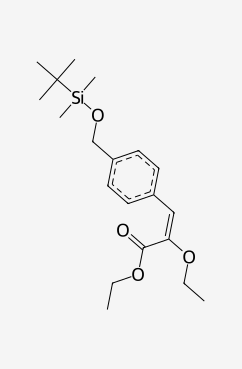 CCOC(=O)/C(=C\c1ccc(CO[Si](C)(C)C(C)(C)C)cc1)OCC